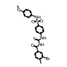 COc1ccc(NS(=O)(=O)c2ccc(NC(=S)NC(=O)c3ccc(C)c(Br)c3)cc2)cc1